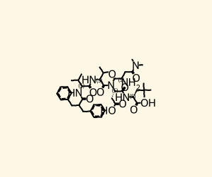 CC(C)[C@H](NC(=O)C(Cc1ccccc1)Cc1ccccc1)C(=O)N[C@H](C(=O)N(C(=O)[C@@H](N)CC(=O)N(C)C)[C@@H](CC(=O)O)C(=O)N[C@@H](CC(C)(C)C)C(=O)O)C(C)C